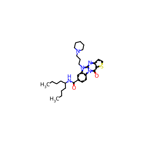 CCCCC(CCCC)NC(=O)c1ccc2c(c1)n(CCCN1CCCCC1)c1nc3ccsc3c(=O)n21